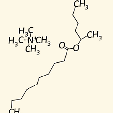 CCCCCCCCCC(=O)OC(C)CCCC.C[N+](C)(C)C